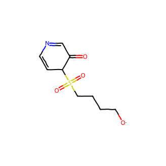 [O]CCCCS(=O)(=O)C1C=CN=CC1=O